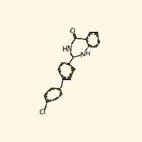 O=C1NC(c2ccc(-c3ccc(Cl)cc3)cc2)Nc2ccccc21